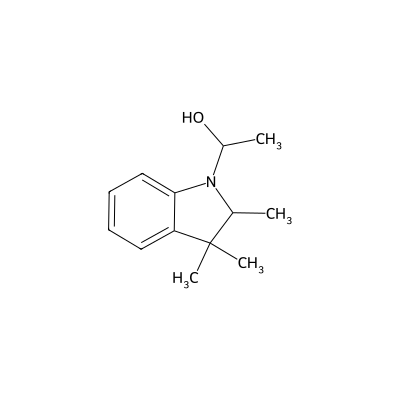 CC(O)N1c2ccccc2C(C)(C)C1C